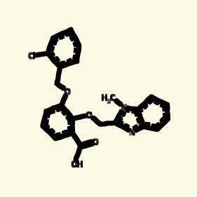 Cn1c(COc2c(OCc3ccccc3Cl)cccc2C(=O)O)nc2ccccc21